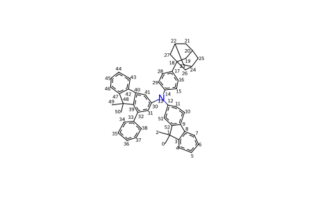 CC1(C)c2ccccc2-c2ccc(N(c3ccc(C45CC6CC(CC(C6)C4)C5)cc3)c3cc(-c4ccccc4)c4c(c3)-c3ccccc3C4(C)C)cc21